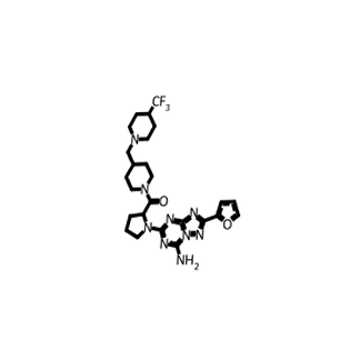 Nc1nc(N2CCCC2C(=O)N2CCC(CN3CCC(C(F)(F)F)CC3)CC2)nc2nc(-c3ccco3)nn12